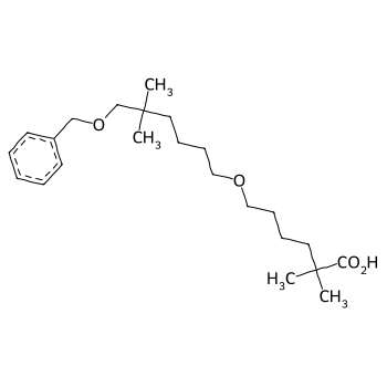 CC(C)(CCCCOCCCCC(C)(C)C(=O)O)COCc1ccccc1